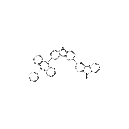 C1=CC2Nc3ccc(-c4ccc5sc6ccc(-c7c8ccccc8c(-c8ccccc8)c8ccccc78)cc6c5c4)cc3N2C=C1